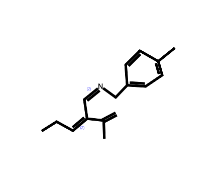 C=C(C)C(/C=N\Cc1ccc(C)cc1)=C/CC